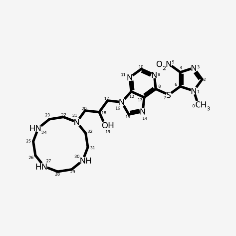 Cn1cnc([N+](=O)[O-])c1Sc1ncnc2c1ncn2CC(O)CN1CCNCCNCCNCC1